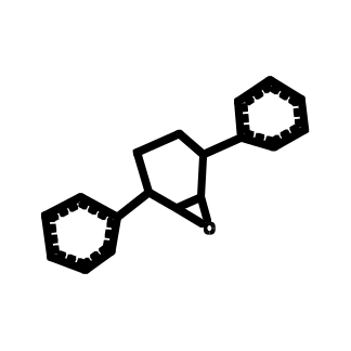 c1ccc(C2CCC(c3ccccc3)C3OC23)cc1